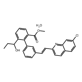 CCC(O)c1cccc(C(=O)OC)c1-c1cccc(/C=C/c2ccc3ccc(Cl)cc3n2)c1.O